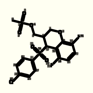 CS(=O)(=O)OCC1COc2c(F)ccc(F)c2C1S(=O)(=O)c1ccc(Cl)cc1